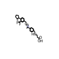 C/C(=N\OCc1ccc(C2CCCC2)c(C(F)(F)F)c1)c1ccc(CNCCC(=O)O)cc1